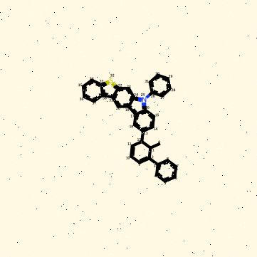 CC1C(c2ccccc2)=CC=CC1c1ccc2c(c1)c1cc3c(cc1n2-c1ccccc1)sc1ccccc13